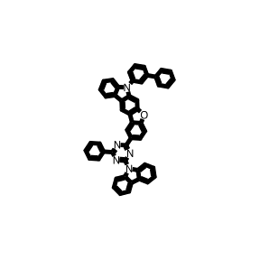 c1ccc(-c2cccc(-n3c4ccccc4c4cc5c(cc43)oc3ccc(-c4nc(-c6ccccc6)nc(-n6c7ccccc7c7ccccc76)n4)cc35)c2)cc1